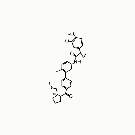 COC[C@@H]1CCCC1C(=O)c1ccc(-c2cc(NC(=O)C3(c4ccc5c(c4)OCO5)CC3)ccc2C)cc1